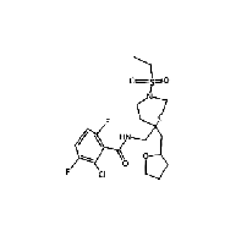 CCS(=O)(=O)N1CCC(CNC(=O)c2c(F)ccc(F)c2Cl)(CC2CCCO2)CC1